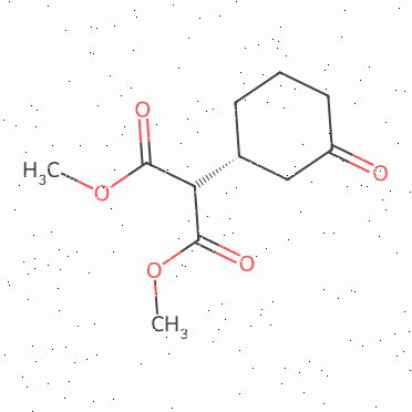 COC(=O)C(C(=O)OC)[C@@H]1CCCC(=O)C1